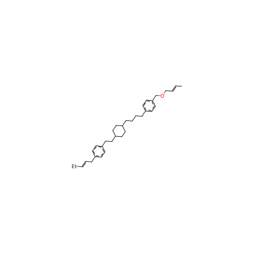 CC=CCOCc1ccc(CCCCC2CCC(CCc3ccc(CC=CCC)cc3)CC2)cc1